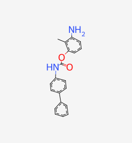 Cc1c(N)cccc1OC(=O)Nc1ccc(-c2ccccc2)cc1